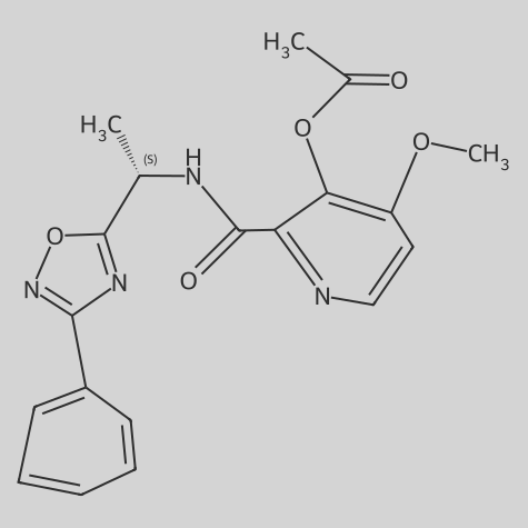 COc1ccnc(C(=O)N[C@@H](C)c2nc(-c3ccccc3)no2)c1OC(C)=O